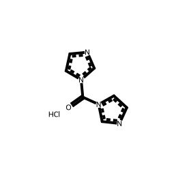 Cl.O=C(n1ccnc1)n1ccnc1